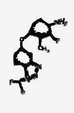 Cc1c(Oc2ccc3c(c2)nnn3C(F)F)ccc(N)c1F